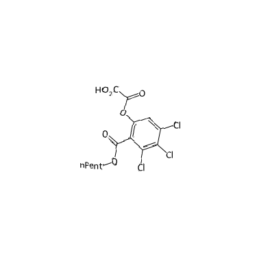 CCCCCOC(=O)c1c(OC(=O)C(=O)O)cc(Cl)c(Cl)c1Cl